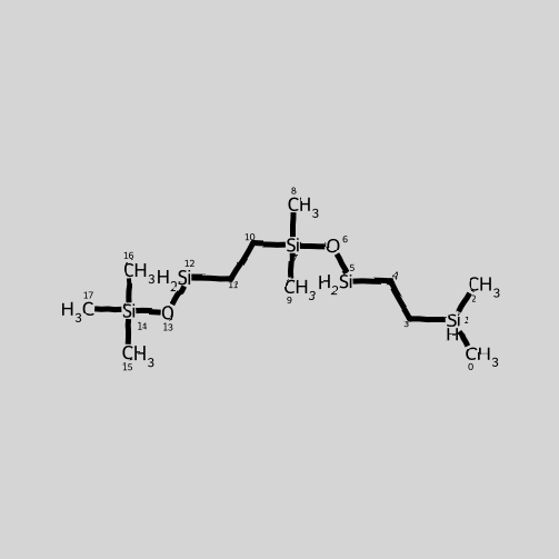 C[SiH](C)CC[SiH2]O[Si](C)(C)CC[SiH2]O[Si](C)(C)C